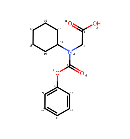 O=C(O)CN(C(=O)Oc1ccccc1)C1CCCCC1